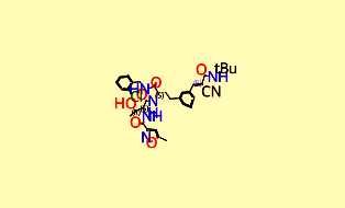 Cc1cc(C(=O)N[C@H](C(=O)N[C@@H](CCc2cccc(/C=C(\C#N)C(=O)NC(C)(C)C)c2)C(=O)NCc2ccccc2Cl)[C@@H](C)O)no1